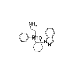 NCCC(=O)OC1(n2ncc3ccccc32)CCCCC1Nc1ccccc1